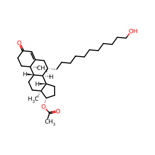 CC(=O)O[C@H]1CC[C@H]2[C@@H]3[C@@H](CCCCCCCCCCCO)CC4=CC(=O)CC[C@]4(C)[C@H]3CC[C@]12C